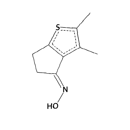 Cc1sc2c(c1C)C(=NO)CC2